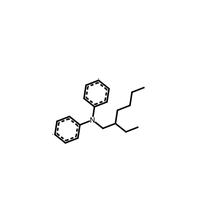 CCCCC(CC)CN(c1cc[c]cc1)c1cc[c]cc1